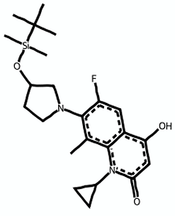 Cc1c(N2CCC(O[Si](C)(C)C(C)(C)C)C2)c(F)cc2c(O)cc(=O)n(C3CC3)c12